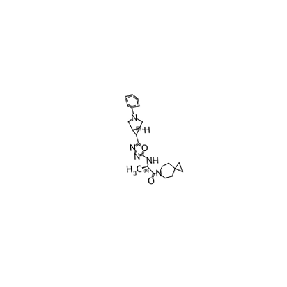 C[C@@H](Nc1nnc(C2C3CN(c4ccccc4)C[C@H]32)o1)C(=O)N1CCC2(CC1)CC2